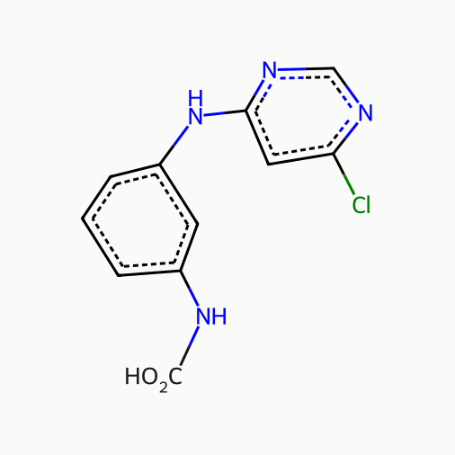 O=C(O)Nc1cccc(Nc2cc(Cl)ncn2)c1